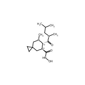 CC(C)CN(C)C(=O)[C@@H]1[C@@H](C(=O)NO)CC2(CC2)CN1C